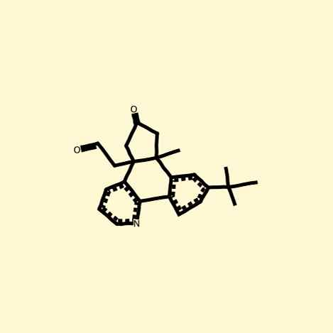 CC(C)(C)c1ccc2c(c1)C1(C)CC(=O)CC1(CC=O)c1cccnc1-2